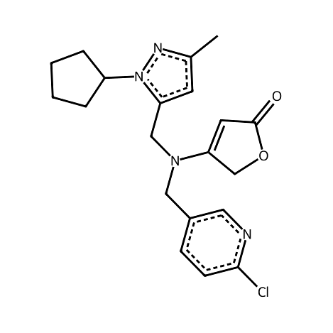 Cc1cc(CN(Cc2ccc(Cl)nc2)C2=CC(=O)OC2)n(C2CCCC2)n1